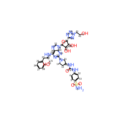 NS(=O)(=O)c1ccc(NC(=O)N[C@@H]2CCN(c3nc(N[C@H](CO)Cc4ccccc4)c4ncn([C@@H]5O[C@H](c6nnn(CCO)n6)[C@@H](O)[C@H]5O)c4n3)C2)cc1